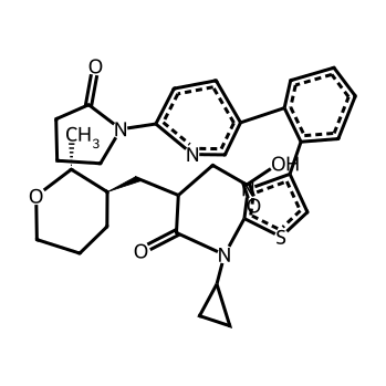 C[C@H]1OCCC[C@@H]1CC(CC(=O)O)C(=O)N(c1nc(-c2ccccc2-c2ccc(N3CCCC3=O)nc2)cs1)C1CC1